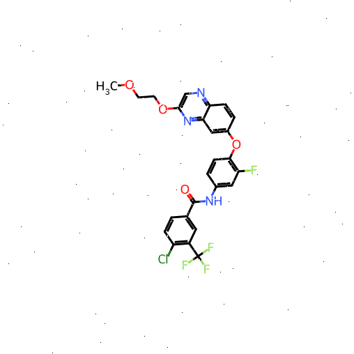 COCCOc1cnc2ccc(Oc3ccc(NC(=O)c4ccc(Cl)c(C(F)(F)F)c4)cc3F)cc2n1